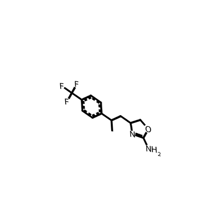 CC(CC1COC(N)=N1)c1ccc(C(F)(F)F)cc1